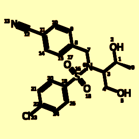 C[C@H](O)C(CO)N(Cc1ccc(C#N)cc1)S(=O)(=O)c1ccc(Cl)cc1